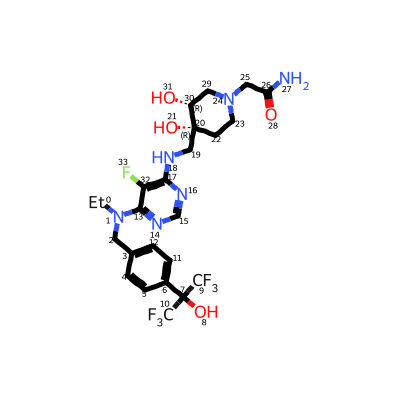 CCN(Cc1ccc(C(O)(C(F)(F)F)C(F)(F)F)cc1)c1ncnc(NC[C@]2(O)CCN(CC(N)=O)C[C@H]2O)c1F